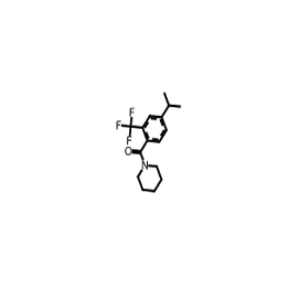 CC(C)c1ccc(C(=O)N2CCCCC2)c(C(F)(F)F)c1